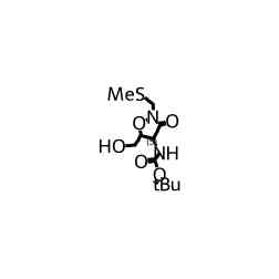 CSCN1OC(CO)[C@H](NC(=O)OC(C)(C)C)C1=O